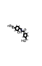 CCCCOC1CCC(/C=C/C(=O)N2CCC(CO)CC2)C(O)C1